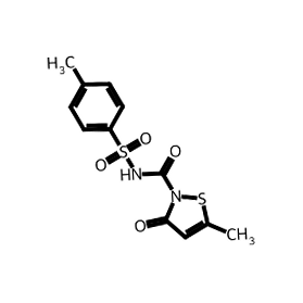 Cc1ccc(S(=O)(=O)NC(=O)n2sc(C)cc2=O)cc1